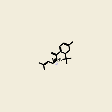 C=C(/C=C\C=C(C)C)C1=CC=C(C)CC1C(C)(C)NC